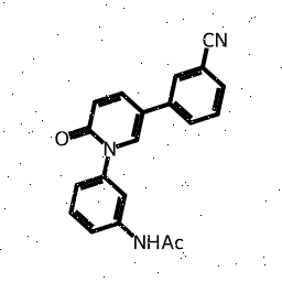 CC(=O)Nc1cccc(-n2cc(-c3cccc(C#N)c3)ccc2=O)c1